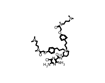 CN(C)CCCN(C)C(=O)COc1ccc(CCC[N+]2(CCCc3ccc(OCC(=O)N(C)CCCN(C)C)cc3)CCCC(NC(=O)c3nc(Cl)c(N)nc3N)C2)cc1